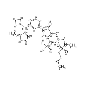 COCCS(=O)(=O)N(C)Cc1cc(C(F)(F)F)c2cn(-c3cccc([C@H](c4nncn4C)C4CCC4)c3)c(=O)n2c1